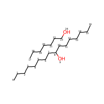 CCCCCCCCC(O)CCCCCCC.CCCCCCCO